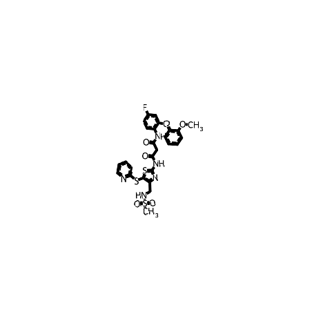 COc1ccccc1Oc1cc(F)ccc1NC(=O)CC(=O)Nc1nc(CNS(C)(=O)=O)c(Sc2ccccn2)s1